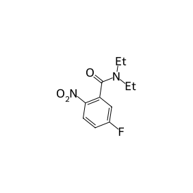 CCN(CC)C(=O)c1cc(F)ccc1[N+](=O)[O-]